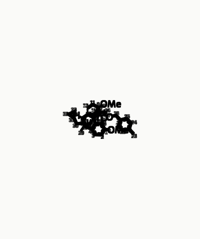 COc1ccc2c3c1O[C@H]1[C@@]4(OC)CC[C@@]5(C[C@@H]4COCc4ccc(C)cc4)[C@@H](C2)[N@@+](C)(CC2CC2)CC[C@]315